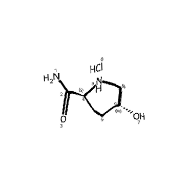 Cl.NC(=O)[C@@H]1C[C@@H](O)CN1